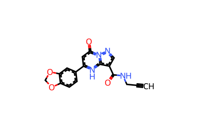 C#CCNC(=O)c1cnn2c(=O)cc(-c3ccc4c(c3)OCO4)[nH]c12